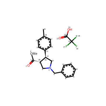 COC(=O)[C@H]1CN(Cc2ccccc2)C[C@@H]1c1ccc(C)cc1.O=C(O)C(F)(F)F